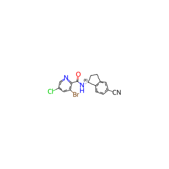 N#Cc1ccc2c(c1)CC[C@H]2NC(=O)c1ncc(Cl)cc1Br